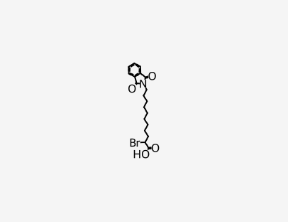 O=C(O)C(Br)CCCCCCCCCN1C(=O)c2ccccc2C1=O